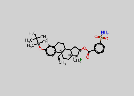 C=C[C@]12CC[C@@]3(C)C(C[C@@H](OC(=O)c4cccc(S(N)(=O)=O)c4)[C@@H]3F)C1CCc1cc(O[Si](C)(C)C(C)(C)C)ccc12